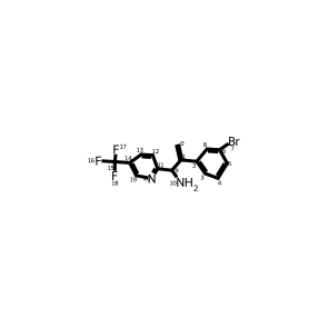 C=C(c1cccc(Br)c1)C(N)c1ccc(C(F)(F)F)cn1